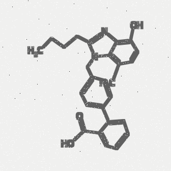 CCCCc1nc2c(O)ccc(C)c2n1Cc1ccc(-c2ccccc2C(=O)O)cc1